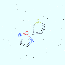 c1ccsc1.c1cnon1